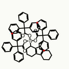 CC1C2=C(CCCC2)C2=C1[CH]([Ti]([O]C(=O)C(c1ccccc1)(c1ccccc1)c1ccccc1)([O]C(=O)C(c1ccccc1)(c1ccccc1)c1ccccc1)[O]C(=O)C(c1ccccc1)(c1ccccc1)c1ccccc1)CCC2